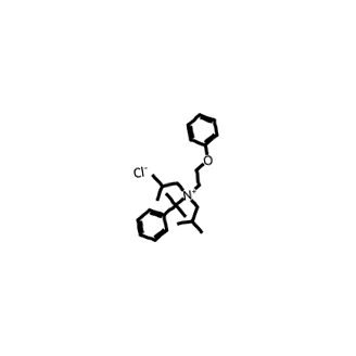 CC(C)C[N+](CCOc1ccccc1)(CC(C)C)C(C)(C)c1ccccc1.[Cl-]